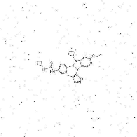 CCOc1ccc2c(c1)N(C1CCC1)C(c1ccc(NC(=O)NC3CCC3)cc1)C2c1oncc1C